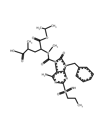 CCCS(=N)(=O)c1nc(N)c2c(n1)n(Cc1ccccc1)c(=O)n2C(=O)N(C)C(CC(C)C(=O)O)C(=O)OC(C)C